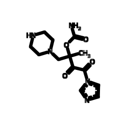 CC(CN1CCNCC1)(OC(N)=O)C(=O)C(=O)n1ccnc1